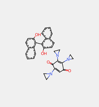 O=C1C=C(N2CC2)C(=O)C(N2CC2)=C1N1CC1.Oc1ccc2ccccc2c1-c1c(O)ccc2ccccc12